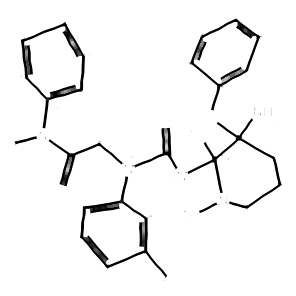 CC(=O)N1CCCC(N)(Oc2ccccc2)C1(NC(=O)N(CC(=O)N(C)c1ccccc1)c1cccc(C)c1)C(C)=O